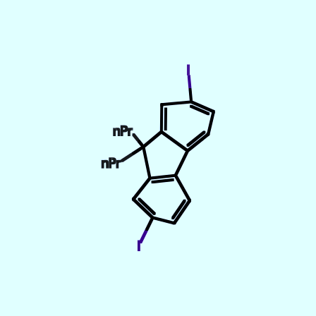 CCCC1(CCC)c2cc(I)ccc2-c2ccc(I)cc21